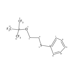 FC(F)(F)C(OCCSc1ccccc1)(C(F)(F)F)C(F)(F)F